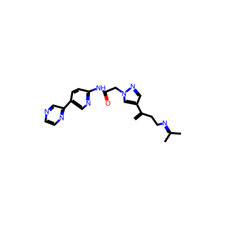 C=C(CCN=C(C)C)c1cnn(CC(=O)Nc2ccc(-c3cnccn3)cn2)c1